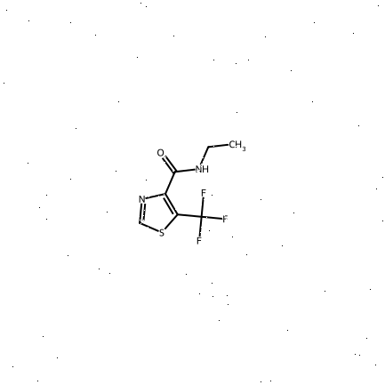 CCNC(=O)c1ncsc1C(F)(F)F